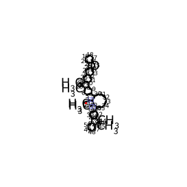 C/C=c1/c(-c2ccc3c(c2)-c2cc4cc5oc6ccccc6c5cc4cc2C3(C)C)ccccccc(-c2ccc3c(c2)C(C)(C)c2ccccc2-3)/c1=C/C